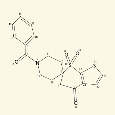 O=C1CC2([CH]CN(C(=O)c3ccccc3)CC2)S(=O)(=O)c2sccc21